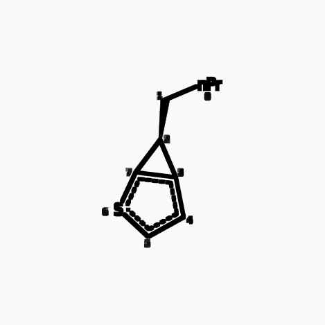 CCCC[C@H]1c2ccsc21